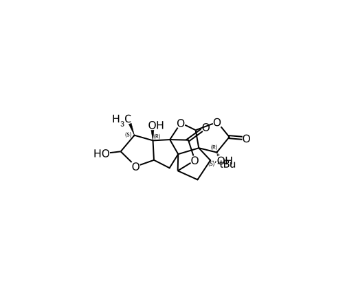 C[C@@H]1C(O)OC2CC34C5C[C@@H](C(C)(C)C)C36C(OC(=O)[C@@H]6O)OC4(C(=O)O5)[C@]21O